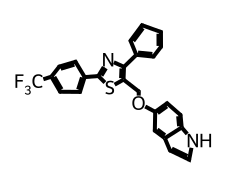 FC(F)(F)c1ccc(-c2nc(-c3ccccc3)c(COc3ccc4[nH]ccc4c3)s2)cc1